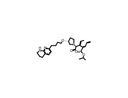 C=C/C=C(\C(=C/C)[C@@H](C(=O)O)N1CC[C@@H](OCCCCc2ccc3c(n2)NCCC3)C1)[C@@H](C)OC(C)C